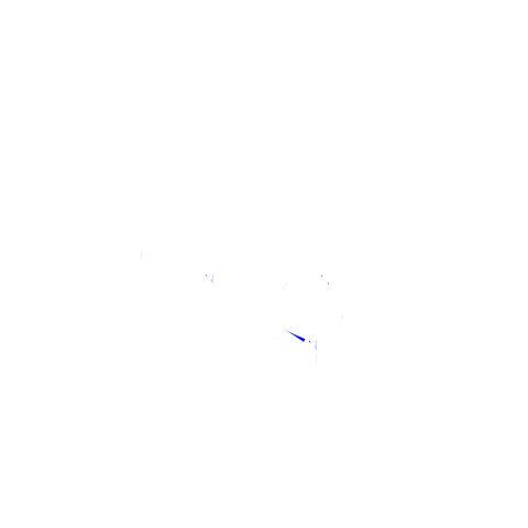 CC1CCC2(CC1)N[C@@H]([C@H](O)[C@H](Cc1ccccc1)NC(=O)O)C(=O)N2Cc1ccccc1